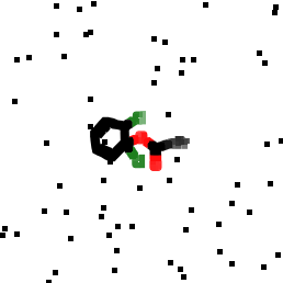 CCCC(=O)OC1(Cl)C=CC=CC1Cl